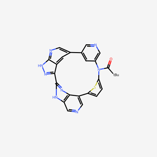 CC(C)(C)C(=O)n1c2cncc(c2)c2cnc3[nH]nc(c4nc5c(cncc5c5ccc1s5)[nH]4)c3c2